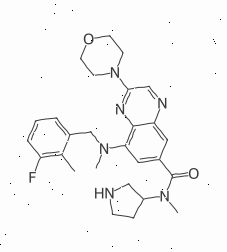 Cc1c(F)cccc1CN(C)c1cc(C(=O)N(C)C2CCNC2)cc2ncc(N3CCOCC3)nc12